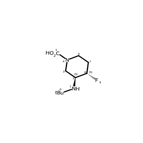 CC(C)(C)N[C@H]1CN(C(=O)O)CC[C@@H]1F